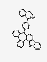 C1=CC2Sc3c(ccc4c3-c3ccccc3-c3ccccc3N4c3ccc(C4NC=Cc5ccccc54)cc3)C2C=C1